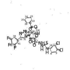 O=C(NNC(=S)Nc1ccc(Cl)c(Cl)c1)[C@@H]1O[C@@H]2CO[C@H](c3ccccc3)O[C@@H]2[C@H](n2cc(-c3cc(F)c(F)c(F)c3)nn2)[C@H]1O